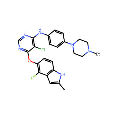 CCN1CCN(c2ccc(Nc3ncnc(Oc4ccc5[nH]c(C)cc5c4F)c3Cl)cc2)CC1